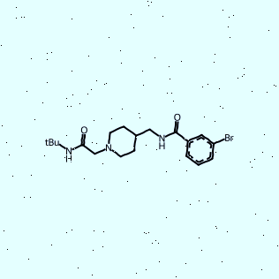 CC(C)(C)NC(=O)CN1CCC(CNC(=O)c2cccc(Br)c2)CC1